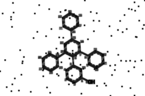 Oc1cccc(-c2c(-c3ccccc3)cc(-c3ccccc3)cc2-c2ccccc2)c1